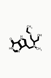 CCSCC(CO)N(C)Cc1c[nH]c2c(=O)[nH]cnc12